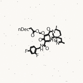 CCCCCCCCCCCC(=O)OCOc1c2n(cc(C(=O)NCc3ccc(F)cc3F)c1=O)[C@@H]1CN(C2=O)[C@@H](C)CC[C@]12CC(C)=NO2